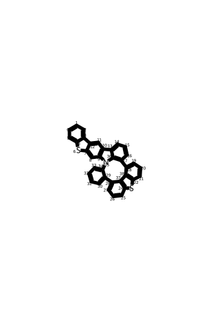 c1ccc2c(c1)sc1cc3c(cc12)c1cccc2c4cccc5sc6cccc(c7ccccc7n3c21)c6c54